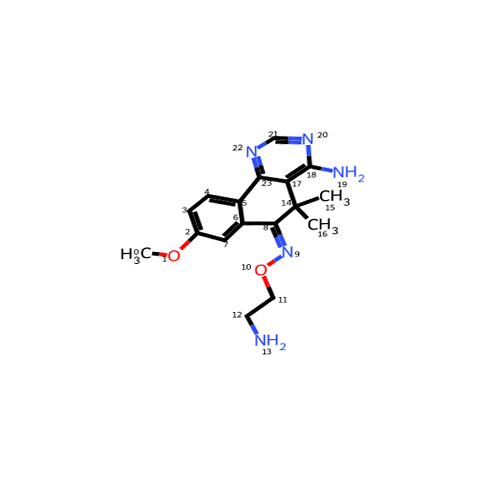 COc1ccc2c(c1)/C(=N\OCCN)C(C)(C)c1c(N)ncnc1-2